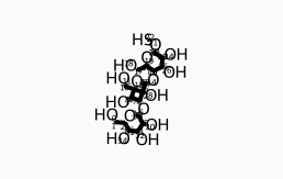 OCC1O[C@H](OC2[C@@H](O)C3(CO)O[C@@H](O[C@@H]4C(CO)O[C@@H](OS)C(O)C4O)C23O)C(O)C(O)[C@H]1O